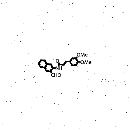 COc1ccc(/C=C/C(=O)Nc2cc3ccccc3cc2C=O)cc1OC